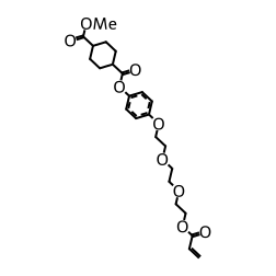 C=CC(=O)OCCOCCOCCOc1ccc(OC(=O)C2CCC(C(=O)OC)CC2)cc1